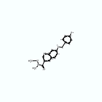 CON(C)C(=O)c1cnc2cc(OCc3ccc(F)cc3)ccc2c1